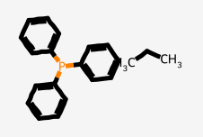 CCC.c1ccc(P(c2ccccc2)c2ccccc2)cc1